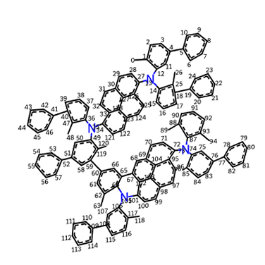 Cc1ccc(-c2ccccc2)cc1N(c1cccc(-c2ccccc2)c1C)c1ccc2ccc3c(N(c4cccc(-c5ccccc5)c4C)c4cc(-c5ccccc5)cc(-c5cc(C)c6c(c5)-c5cc7ccc(N(c8cc(-c9ccccc9)ccc8C)c8c(C)cccc8C)c8ccc9ccc(c5c9c78)N6c5cc(-c6ccccc6)ccc5C)c4C)ccc4ccc1c2c43